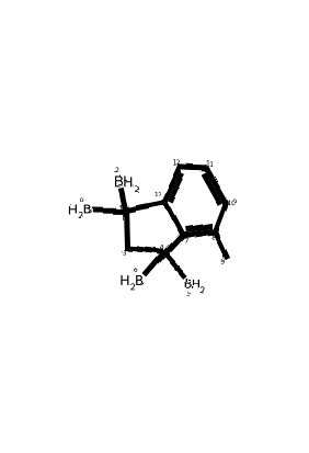 BC1(B)CC(B)(B)c2c(C)cccc21